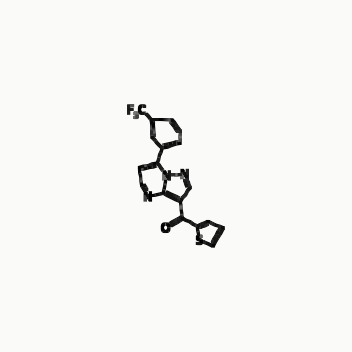 O=C(c1cccs1)c1cnn2c(-c3cccc(C(F)(F)F)c3)ccnc12